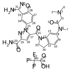 CN(C)CC(=O)N(C)c1ccc2c(c1)N(C(=O)c1cc(C(N)=O)nn1-c1ccc3onc(N)c3c1)CC2.O=C(O)C(F)(F)F